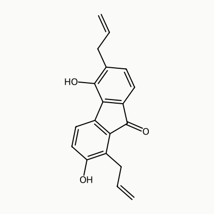 C=CCc1ccc2c(c1O)-c1ccc(O)c(CC=C)c1C2=O